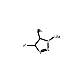 CC(C)C1N=NN(C(C)(C)C)C1C(C)(C)C